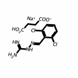 N=C(N)N/N=C/c1c(Cl)cccc1Cl.O=C([O-])CCC(=O)O.[Na+]